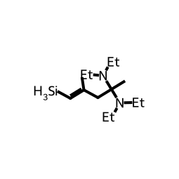 CCN(CC)C(C)(CC(C)=C[SiH3])N(CC)CC